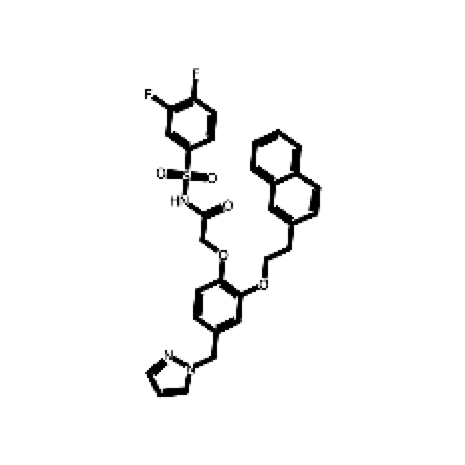 O=C(COc1ccc(Cn2cccn2)cc1OCCc1ccc2ccccc2c1)NS(=O)(=O)c1ccc(F)c(F)c1